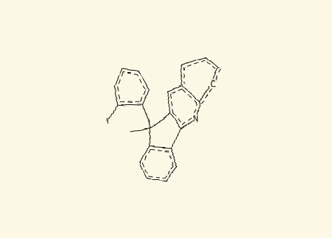 CC1(c2ccccc2I)c2ccccc2-c2nc3ccccc3cc21